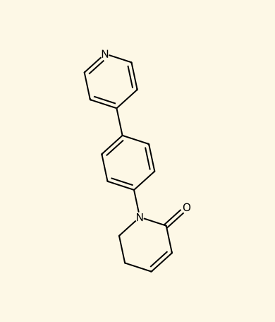 O=C1C=CCCN1c1ccc(-c2ccncc2)cc1